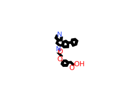 O=C(O)Cc1cccc(OCCON=C(Cc2ccncc2)c2ccc(-c3ccccc3)cc2)c1